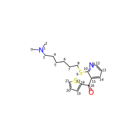 CN(C)CCCCCCSc1ncccc1C(=O)c1cccs1